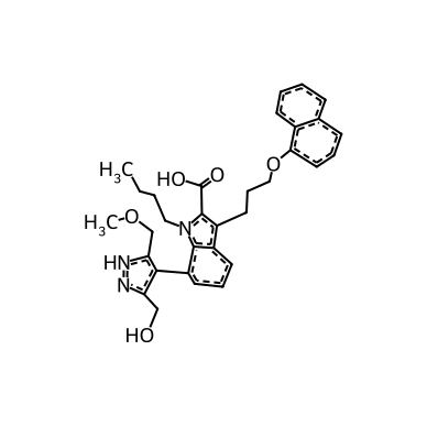 CCCCn1c(C(=O)O)c(CCCOc2cccc3ccccc23)c2cccc(-c3c(CO)n[nH]c3COC)c21